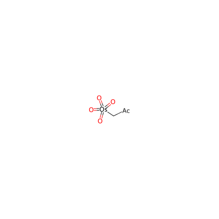 CC(=O)[CH2][Os](=[O])(=[O])(=[O])=[O]